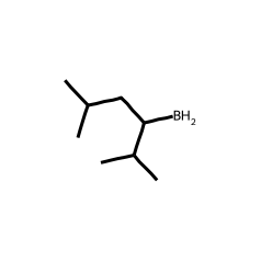 BC(CC(C)C)C(C)C